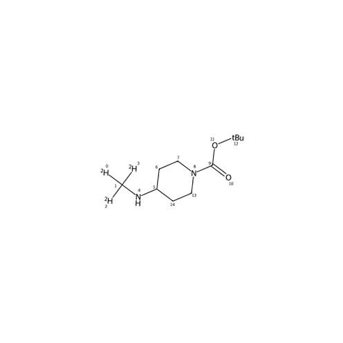 [2H]C([2H])([2H])NC1CCN(C(=O)OC(C)(C)C)CC1